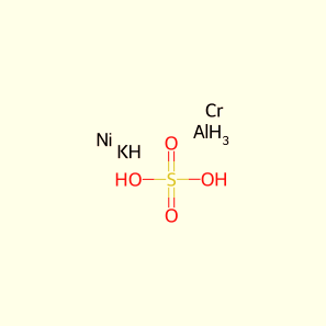 O=S(=O)(O)O.[AlH3].[Cr].[KH].[Ni]